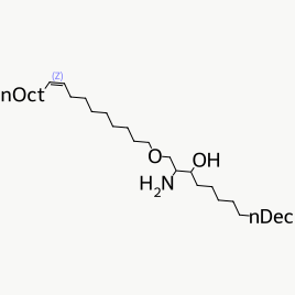 CCCCCCCC/C=C\CCCCCCCCOCC(N)C(O)CCCCCCCCCCCCCCC